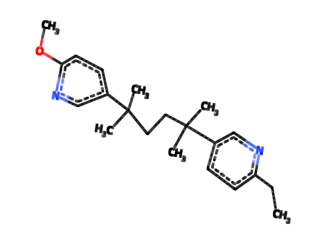 CCc1ccc(C(C)(C)CCC(C)(C)c2ccc(OC)nc2)cn1